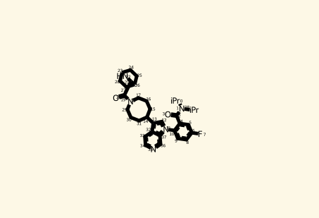 CC(C)N(C(=O)c1cc(F)ccc1-n1cc(C2CCCN(C(=O)C3NC4CCC3CC4)CCC2)c2ccncc21)C(C)C